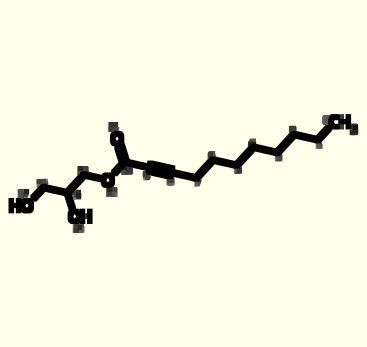 CCCCCCCCC#CC(=O)OCC(O)CO